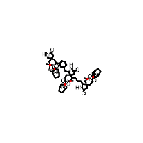 CCOC(=O)N1C2C=C(N3CCC4(CC3)CC(=O)NC4CCCC3CN(C4=CC5CCC(C4)N5C(=O)OCC)CCC34CC(=O)NC4Cc3cccc(C4CC5(CCN4C4=C(F)C6CCC(C4)N6C(=O)OCC)CNC(=O)C5)c3)CC1CC2